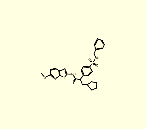 COc1ccc2nc(NC(=O)C(CC3CCCC3)c3ccc(S(=O)(=O)NCc4ccccc4)cc3)sc2n1